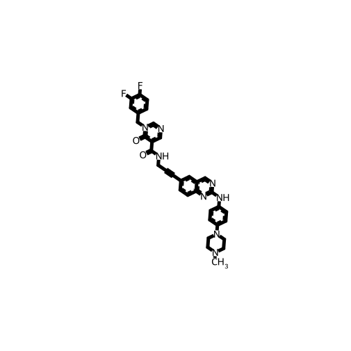 CN1CCN(c2ccc(Nc3ncc4cc(C#CCNC(=O)c5cncn(Cc6ccc(F)c(F)c6)c5=O)ccc4n3)cc2)CC1